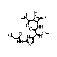 CO/N=C(\C(=O)NC1C(=O)NC1C(=O)N(C)C)c1csc(NC(=O)CCl)n1